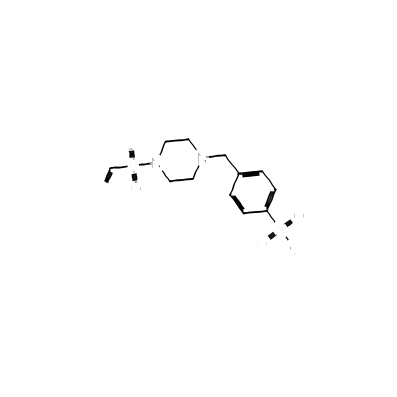 C=CS(=O)(=O)N1CCN(Cc2ccc(S(C)(=O)=O)cc2)CC1